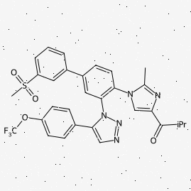 Cc1nc(C(=O)C(C)C)cn1-c1ccc(-c2cccc(S(C)(=O)=O)c2)cc1-n1nncc1-c1ccc(OC(F)(F)F)cc1